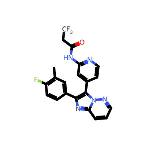 Cc1cc(-c2nc3cccnn3c2-c2ccnc(NC(=O)CC(F)(F)F)c2)ccc1F